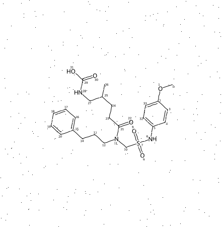 COc1ccc(NS(=O)(=O)CN(CCCc2ccccc2)C(=O)CCC(C)CNC(=O)O)cc1